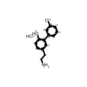 Cl.NCCc1ccc(O)c(-c2cccc(Cl)c2)c1